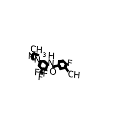 C#Cc1cc(C(=O)Nc2cc(-n3cnc(C)c3)cc(C(F)(F)F)c2)ccc1F